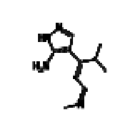 C/N=C\C=C(\c1cn[nH]c1N)C(C)C